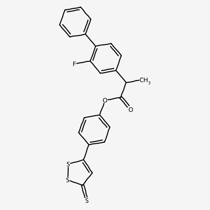 CC(C(=O)Oc1ccc(-c2cc(=S)ss2)cc1)c1ccc(-c2ccccc2)c(F)c1